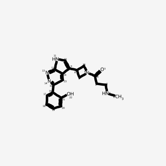 CNCCC(=O)N1CC(c2c[nH]c3nnc(-c4ccccc4O)cc23)C1